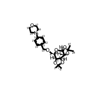 CC1(C)O[C@H]2[C@@H](O1)[C@@H](COCc1ccc(N3CCOCC3)cc1)O[C@@H]1OC(C)(C)O[C@@H]12